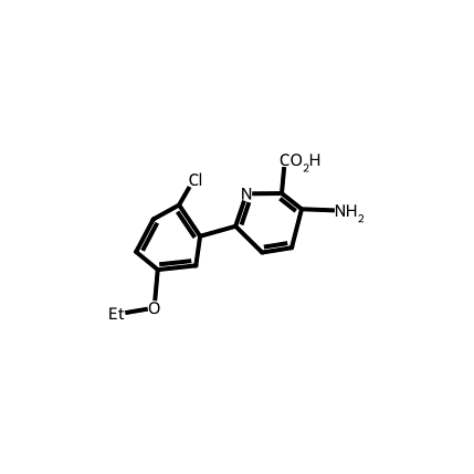 CCOc1ccc(Cl)c(-c2ccc(N)c(C(=O)O)n2)c1